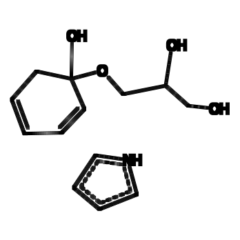 OCC(O)COC1(O)C=CC=CC1.c1cc[nH]c1